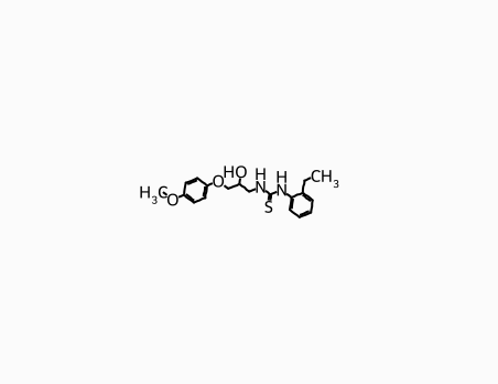 CCc1ccccc1NC(=S)NCC(O)COc1ccc(OC)cc1